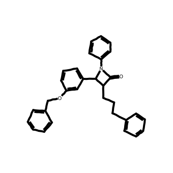 O=C1C(CCCc2ccccc2)C(c2cccc(OCc3ccccc3)c2)N1c1ccccc1